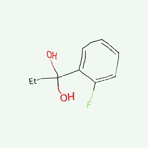 CCC(O)(O)c1ccccc1F